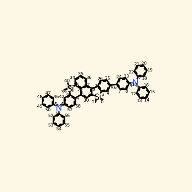 C[Si]1(C)c2cc(-c3ccc(N(c4ccccc4)c4ccccc4)cc3)ccc2-c2c1cc1c3c(cccc23)[Si](C)(C)c2cc(N(c3ccccc3)c3ccccc3)ccc2-1